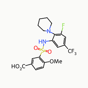 COc1ccc(C(=O)O)cc1S(=O)(=O)Nc1cc(C(F)(F)F)cc(F)c1N1CCCCC1